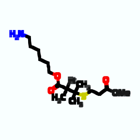 CCC(C)(C(=O)OCCCCCCN)C(C)(C)SCCC(=O)OC